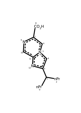 CCCC(CCC)c1cn2cc(C(=O)O)ncc2n1